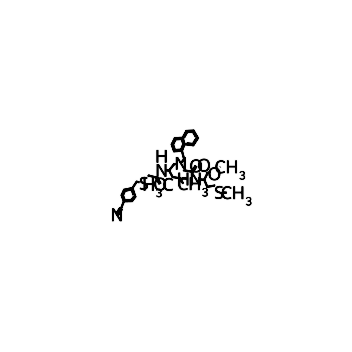 CCC(C)C(CN(CC(=O)NC(CCSC)C(=O)OC)Cc1cccc2ccccc12)NC(=O)CSCc1ccc(C#N)cc1